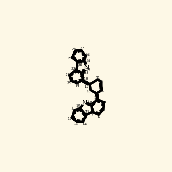 C1=CC(=c2cccc3c2=Nc2ccccc2-3)CC(=c2cccc3c2=Nc2ccccc2-3)C1